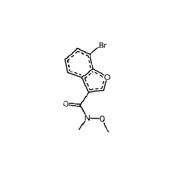 CON(C)C(=O)c1coc2c(Br)cccc12